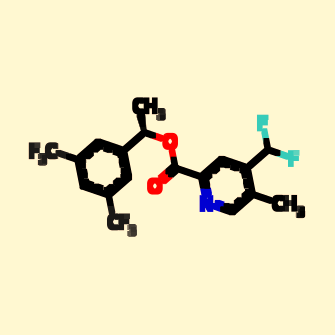 Cc1cnc(C(=O)O[C@H](C)c2cc(C(F)(F)F)cc(C(F)(F)F)c2)cc1C(F)F